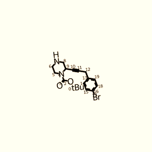 CC(C)(C)OC(=O)N1CCNCC1C#CCc1ccc(Br)cc1